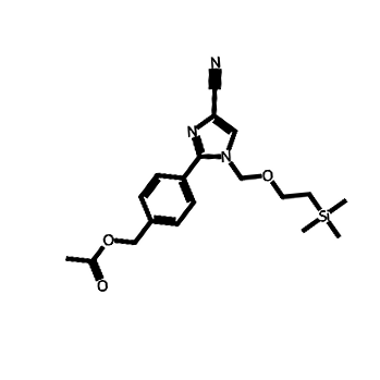 CC(=O)OCc1ccc(-c2nc(C#N)cn2COCC[Si](C)(C)C)cc1